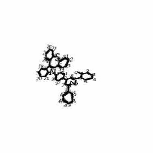 CC1C=CC=CC1c1cc(-c2ccc(-n3c4c(c5ccccc53)-c3ccccc3Sc3ccccc3-4)cc2)cc(-c2ccccc2)n1